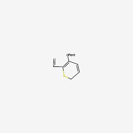 C=CC1=C(CCCCC)C=CCS1